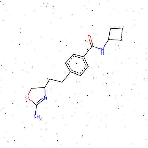 NC1=NC(CCc2ccc(C(=O)NC3CCC3)cc2)CO1